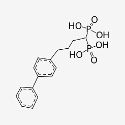 O=P(O)(O)C(CCCc1ccc(-c2ccccc2)cc1)P(=O)(O)O